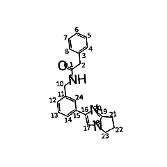 O=C(Cc1ccccc1)NCc1cccc(-c2cn3c(n2)CCC3)c1